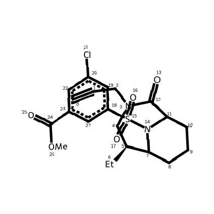 C#CCN1C[C@H](CC)C2CCCC(C1=O)N2S(=O)(=O)c1cc(Cl)cc(C(=O)OC)c1